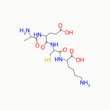 CC(N)C(=O)NC(CCC(=O)O)C(=O)NC(CS)C(=O)NC(CCCCN)C(=O)O